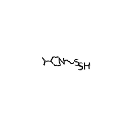 CC(C)C1CCN(CCSS)CC1